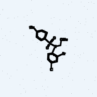 COCN(c1ccc(Cl)cc1Br)S(=O)(=O)c1ccc(C(C)(C)C)cc1